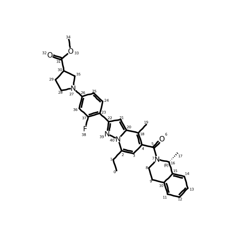 CCc1cc(C(=O)N2CCc3ccccc3[C@H]2C)c(C)c2cc(-c3ccc(N4CCC(C(=O)OC)C4)cc3F)nn12